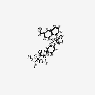 CC(C)(CF)C(=O)Nc1ccc(NS(=O)(=O)c2cccc3cc(C=O)ccc23)cc1